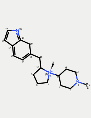 CCN1CCC([N@+]2(C)CCCC2CC2=CC=C3C=CN=C3C2)CC1